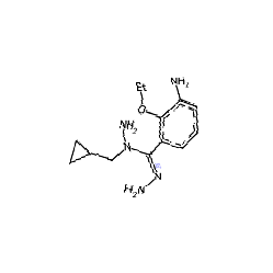 CCOc1c(N)cccc1/C(=N/N)N(N)CC1CC1